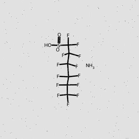 N.O=S(=O)(O)C(F)(F)C(F)(F)C(F)(F)C(F)(F)C(F)(F)C(F)(F)F